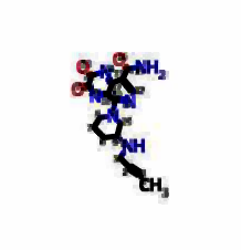 CC#CCN[C@@H]1CCCN(c2ncc(C(N)=O)c3c2=NC(=O)C(=O)N=3)C1